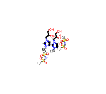 CC[n+]1ccn(CC(O)CO)c1.CC[n+]1ccn(CC(O)CO)c1.O=S(=O)([N-]S(=O)(=O)C(F)(F)F)C(F)(F)F.O=S(=O)([N-]S(=O)(=O)C(F)(F)F)C(F)(F)F